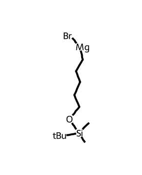 CC(C)(C)[Si](C)(C)OCCCC[CH2][Mg][Br]